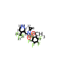 Cc1c(F)c(F)c(F)c(F)c1S(=O)(=O)N(Cc1cnccc1C(F)(F)F)C1CC1